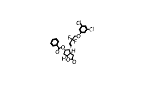 O=C1C[C@@H]2[C@@H](/C=C/C(F)(F)COc3cc(Cl)cc(Cl)c3)[C@H](OC(=O)c3ccccc3)C[C@@H]2O1